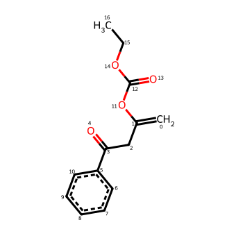 C=C(CC(=O)c1ccccc1)OC(=O)OCC